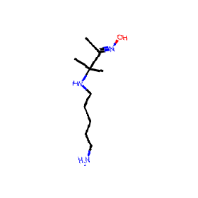 C/C(=N\O)C(C)(C)NCCCCCN